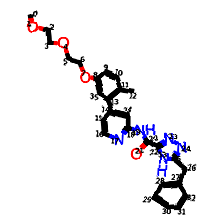 COCCOCCOc1ccc(C)c(-c2ccnc(NC(=O)c3nnc(Cc4ccccc4)[nH]3)c2)c1